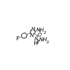 C=C(N)NC(=O)c1nc(-c2ccc(F)cc2)cnc1N